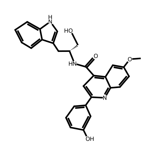 COc1ccc2nc(-c3cccc(O)c3)cc(C(=O)N[C@@H](CO)Cc3c[nH]c4ccccc34)c2c1